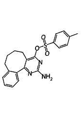 Cc1ccc(S(=O)(=O)Oc2nc(N)nc3c2CCCCc2ccccc2-3)cc1